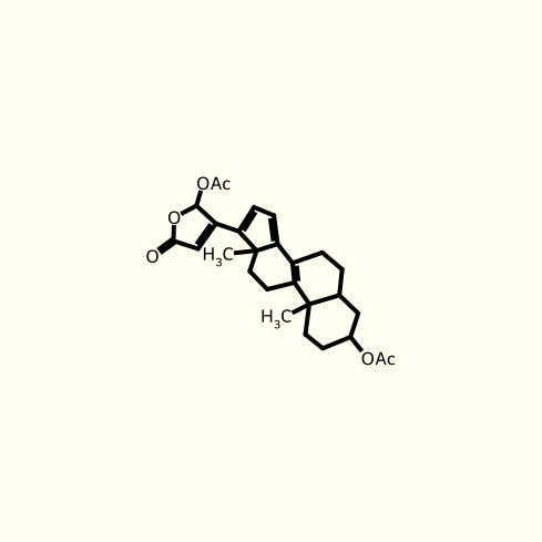 CC(=O)OC1CCC2(C)C3=C(CCC2C1)C1=CC=C(C2=CC(=O)OC2OC(C)=O)C1(C)CC3